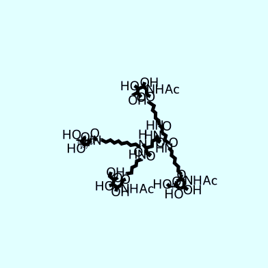 CC(=O)NC1C(OCCCCCCNC(=O)C(CCC(=O)NCCCCCCOC2O[C@H](CO)C(O)C(O)C2NC(C)=O)NC(=O)CCC(NC(=O)CCCCCCCCCNC(=O)[C@@H]2C[C@H](O)[C@@H](CO)O2)C(=O)NCCCCCCOC2OC(CO)C(O)C(O)C2NC(C)=O)OC(CO)C(O)C1O